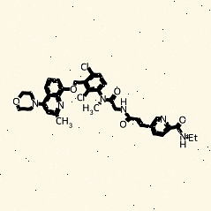 CCNC(=O)c1ccc(/C=C/C(=O)NCC(=O)N(C)c2ccc(Cl)c(COc3cccc4c(N5CCOCC5)cc(C)nc34)c2Cl)cn1